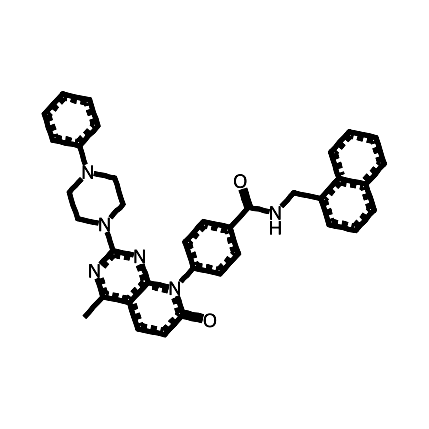 Cc1nc(N2CCN(c3ccccc3)CC2)nc2c1ccc(=O)n2-c1ccc(C(=O)NCc2cccc3ccccc23)cc1